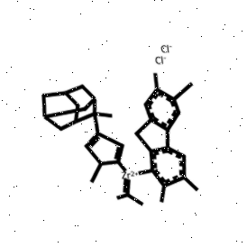 C[C](C)=[Zr+2]([C]1=CC(C2(C)C3CC4CC(C3)CC2C4)=CC1C)[c]1c(C)c(C)cc2c1Cc1cc(C)c(C)cc1-2.[Cl-].[Cl-]